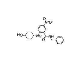 O=C(NCc1ccccc1)c1cc([N+](=O)[O-])ccc1N[C@H]1CC[C@H](O)CC1